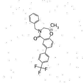 C[C@H]1CN(Cc2ccccc2)C(=O)c2cc(-c3ccc(C(F)(F)F)cc3)ccc2O1